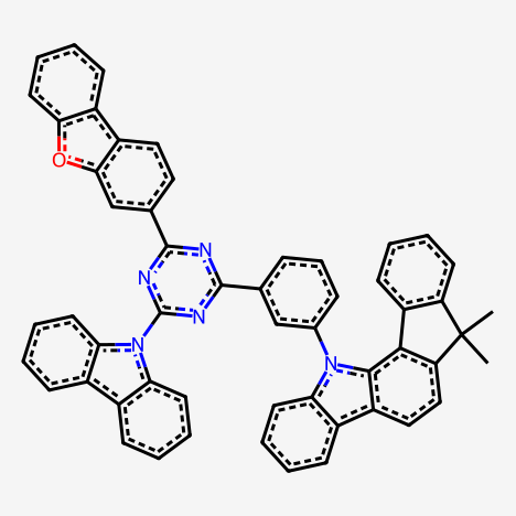 CC1(C)c2ccccc2-c2c1ccc1c3ccccc3n(-c3cccc(-c4nc(-c5ccc6c(c5)oc5ccccc56)nc(-n5c6ccccc6c6ccccc65)n4)c3)c21